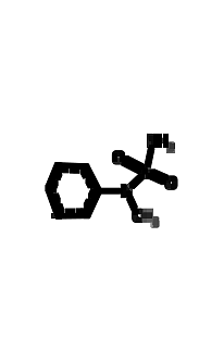 CN(c1c[c]ccc1)S(N)(=O)=O